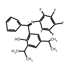 CC(C)c1cc(/C(=N\c2c(F)c(F)c(F)c(F)c2F)c2ccccc2)c(O)c(C(C)C)c1